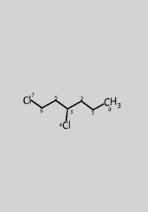 CCCC(Cl)CCCl